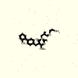 C=C(/C=N\C=C/N)Cn1c(C)nc(CCCC)c(Cc2ccc(-c3ccccc3C#N)cc2)c1=O